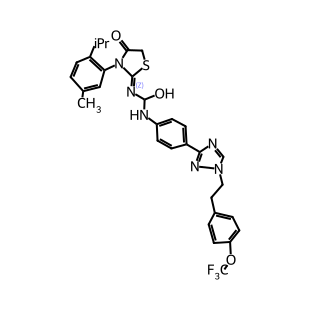 Cc1ccc(C(C)C)c(N2C(=O)CS/C2=N\C(O)Nc2ccc(-c3ncn(CCc4ccc(OC(F)(F)F)cc4)n3)cc2)c1